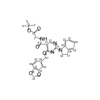 CC(C)(C)OC(=O)CNC(=O)c1cnc(N2CCc3ccccc32)nc1OCc1ccc2c(c1)OCO2